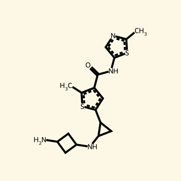 Cc1ncc(NC(=O)c2cc(C3CC3NC3CC(N)C3)sc2C)s1